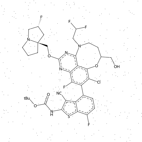 CC(C)(C)OC(=O)Nc1sc2c(F)ccc(-c3c(Cl)c4c5c(nc(OC[C@@]67CCCN6C[C@H](F)C7)nc5c3F)N(CC(F)F)CCC(CO)O4)c2c1C#N